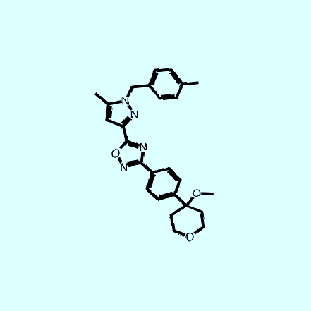 COC1(c2ccc(-c3noc(-c4cc(C)n(Cc5ccc(C)cc5)n4)n3)cc2)CCOCC1